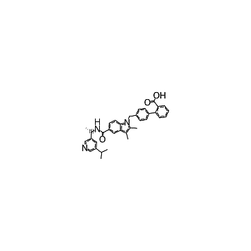 Cc1c(C)n(Cc2ccc(-c3ccccc3C(=O)O)cc2)c2ccc(C(=O)N[C@@H](C)c3cncc(C(C)C)c3)cc12